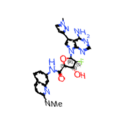 CNc1ccc2ccc(NC(=O)[C@H]3O[C@@H](n4cc(-c5ccn(C)n5)c5c(N)ncnc54)[C@@H](F)[C@@H]3O)cc2n1